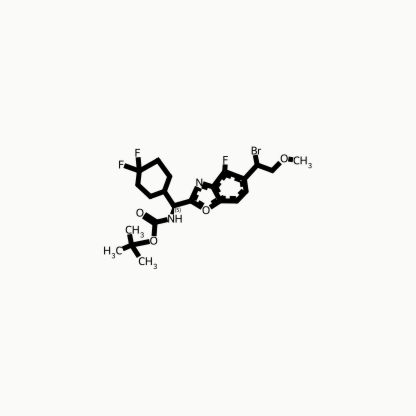 COCC(Br)c1ccc2oc([C@@H](NC(=O)OC(C)(C)C)C3CCC(F)(F)CC3)nc2c1F